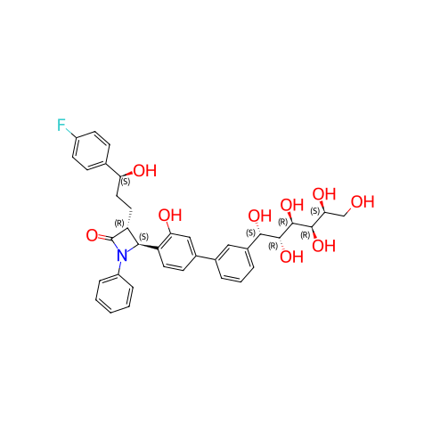 O=C1[C@H](CC[C@H](O)c2ccc(F)cc2)[C@@H](c2ccc(-c3cccc([C@H](O)[C@@H](O)[C@@H](O)[C@H](O)[C@@H](O)CO)c3)cc2O)N1c1ccccc1